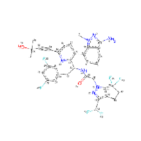 Cn1nc(N)c2cccc(-c3ccc(C#CC(C)(C)O)nc3C(Cc3cc(F)cc(F)c3)NC(=O)Cn3nc(C(F)F)c4c3C(F)(F)CC4)c21